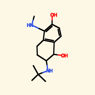 CNc1c(O)ccc2c1CCC(NC(C)(C)C)C2O